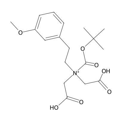 COc1cccc(CC[N+](CC(=O)O)(CC(=O)O)C(=O)OC(C)(C)C)c1